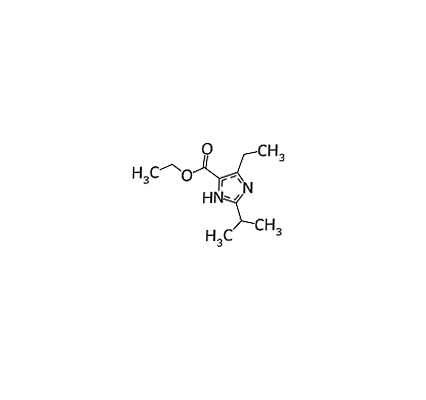 CCOC(=O)c1[nH]c(C(C)C)nc1CC